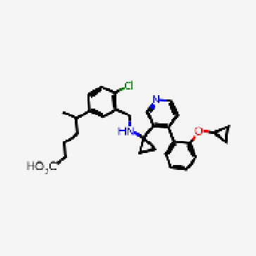 CC(CCCC(=O)O)c1ccc(Cl)c(CNC2(c3cnccc3-c3ccccc3OC3CC3)CC2)c1